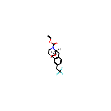 C=COC(=O)N1CC[C@]23CCCC[C@H]2[C@H]1Cc1ccc(CC(F)(F)F)cc13